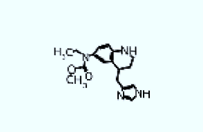 CCN(C(=O)OC)c1ccc2c(c1)C(Cc1c[nH]cn1)CCN2